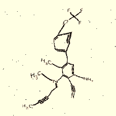 CC#CCN(C)c1c(C)c(-c2ccc(OC(F)(F)F)cc2)cc(N)c1C#N